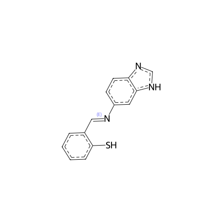 Sc1ccccc1/C=N/c1ccc2nc[nH]c2c1